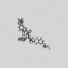 CN(CCCc1ccc(CN)cc1)CCNC(=O)c1cc2cc(OC(F)(F)F)ccc2[nH]1.Cl.Cl